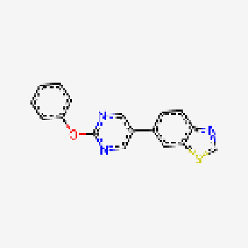 c1ccc(Oc2ncc(-c3ccc4ncsc4c3)cn2)cc1